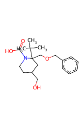 CC(C)(C)C1(COCc2ccccc2)CC(CO)CCN1C(=O)O